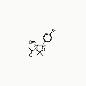 CSc1ccc([C@@H]2OC(C)(C)N(C(C)=O)[C@@H]2C=O)cc1